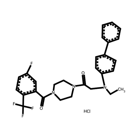 CCN(CC(=O)N1CCN(C(=O)c2cc(F)ccc2C(F)(F)F)CC1)c1ccc(-c2ccccc2)cc1.Cl